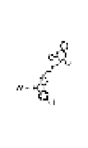 COC1c2ccc(Cl)cc2C2CN(CCCCN3C(=O)CC4(CCCC4)CC3=O)CC21